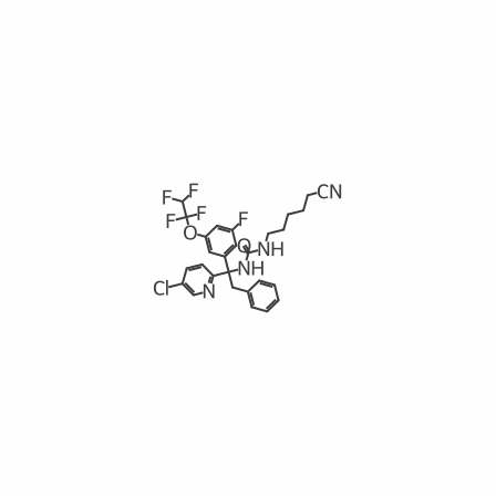 N#CCCCCCNC(=O)NC(Cc1ccccc1)(c1cc(F)cc(OC(F)(F)C(F)F)c1)c1ccc(Cl)cn1